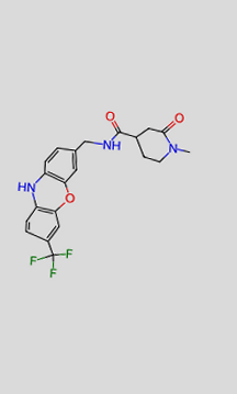 CN1CCC(C(=O)NCc2ccc3c(c2)Oc2cc(C(F)(F)F)ccc2N3)CC1=O